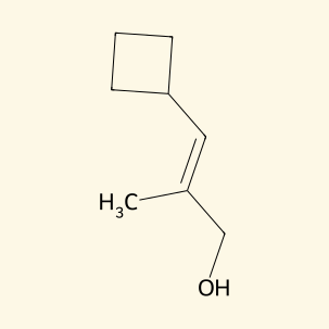 C/C(=C\C1CCC1)CO